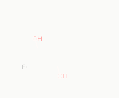 CCC(O)[C](O)c1ccccc1